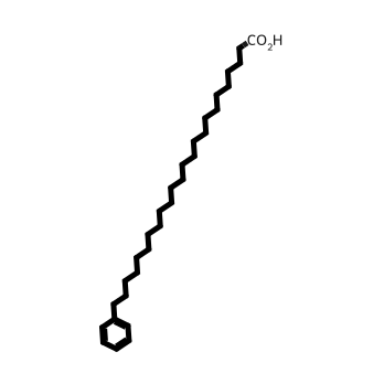 O=C(O)CCCCCCCCCCCCCCCCCCCCCCCc1ccccc1